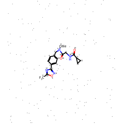 CON(Cc1ccc(-c2noc(C(F)(F)F)n2)cc1)C(=O)CNC(=O)C1CC1